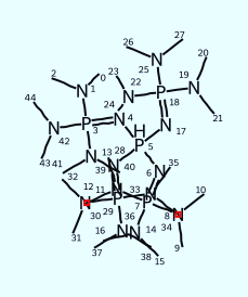 CN(C)P(=N[PH](N=P(N(C)C)(N(C)C)N(C)C)(N=P(N(C)C)(N(C)C)N(C)C)N=P(N(C)C)(N(C)C)N(C)C)(N(C)C)N(C)C